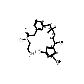 CCN(CCO)C(=O)Cc1cccc(CC(C)(C)NCC(O)c2cc(O)cc(O)c2)c1